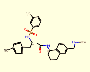 CC(C)(C)NCc1ccc2c(c1)CCC[C@H]2NC(=O)C[C@H](Cc1ccc(C#N)cc1)NS(=O)(=O)c1cccc(C(F)(F)F)c1